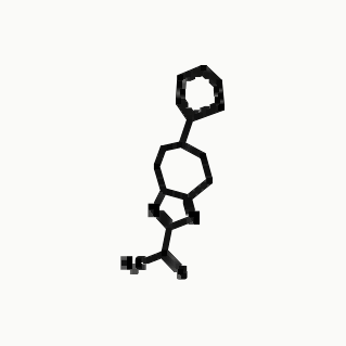 CC(=S)C1=NC2CCC(c3ccccc3)CCC2=N1